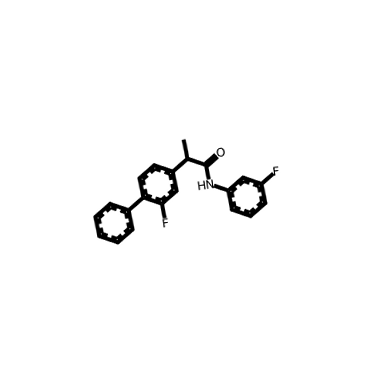 CC(C(=O)Nc1cccc(F)c1)c1ccc(-c2ccccc2)c(F)c1